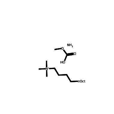 CCCCCCCCCCCC[N+](C)(C)C.COC(=O)O.N